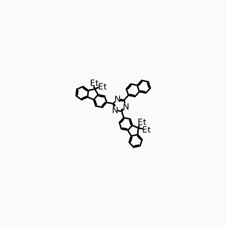 CCC1(CC)c2ccccc2-c2ccc(-c3nc(-c4ccc5c(c4)C(CC)(CC)c4ccccc4-5)nc(-c4ccc5ccccc5c4)n3)cc21